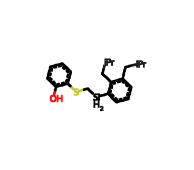 CC(C)Cc1cccc([SiH2]CSc2ccccc2O)c1CC(C)C